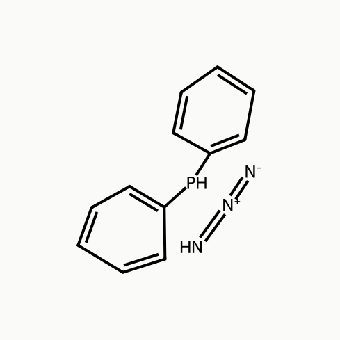 [N-]=[N+]=N.c1ccc(Pc2ccccc2)cc1